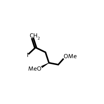 C=C(I)C[C@@H](COC)OC